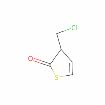 O=C1SC=CC1CCl